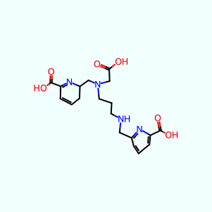 O=C(O)CN(CCCNCc1cccc(C(=O)O)n1)CC1CC=CC(C(=O)O)=N1